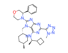 C[C@@H](Nc1nc(-c2nnnn2C)nc2nc(N3CCOC[C@H]3c3ccccc3)n(C[C@H]3CC[C@H](C)CC3)c12)C1CCC1